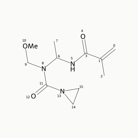 C=C(C)C(=O)NC(C)N(COC)C(=O)N1CC1